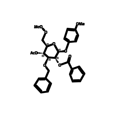 COOC[C@H]1O[C@@H](Oc2ccc(OC)cc2)[C@H](OC(=O)c2ccccc2)[C@@H](OCc2ccccc2)[C@@H]1OC(C)=O